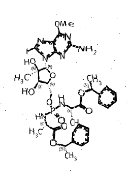 COc1nc(N)nc2c1nc(I)n2[C@@H]1O[C@H](COP(=O)(N[C@@H](C)C(=O)O[C@@H](C)c2ccccc2)N[C@@H](C)C(=O)O[C@@H](C)c2ccccc2)[C@@H](O)[C@@]1(C)O